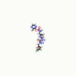 Cc1nccnc1OC(=O)N(C)Cc1csc(NC(=O)NCc2ccc(F)s2)n1